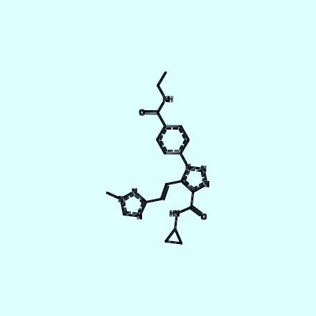 CCNC(=O)c1ccc(-n2nnc(C(=O)NC3CC3)c2/C=C/c2ncn(C)n2)cc1